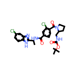 CC(NC(=O)c1ccc(C(=O)N2CCCC2CNC(=O)OC(C)(C)C)c(Cl)c1)c1nc2cc(Cl)ccc2[nH]1